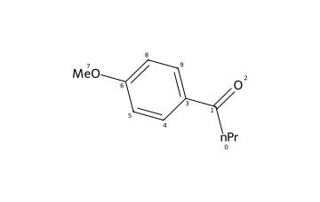 CCCC(=O)c1ccc(OC)cc1